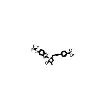 COC(=O)c1ccc(C#CCC2CC(C)C(=O)N2c2nc3ccc(OC(F)(F)F)cc3s2)cc1